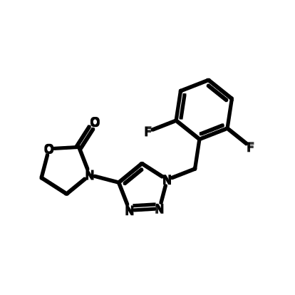 O=C1OCCN1c1cn(Cc2c(F)cccc2F)nn1